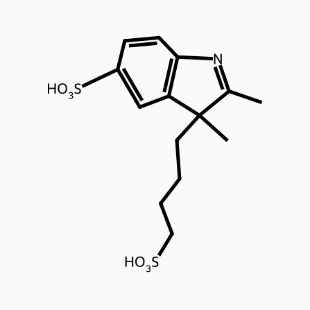 CC1=Nc2ccc(S(=O)(=O)O)cc2C1(C)CCCCS(=O)(=O)O